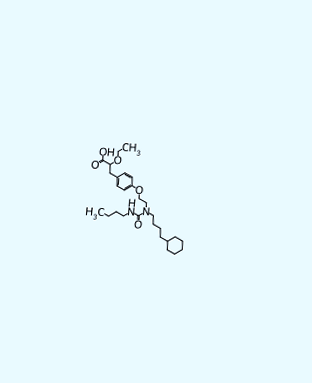 CCCCNC(=O)N(CCCCC1CCCCC1)CCOc1ccc(CC(OCC)C(=O)O)cc1